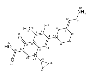 Cc1c(F)c(N2CCC/C(=C\CN)C2)cc2c1c(=O)c(C(=O)O)cn2C1CC1